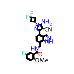 COc1ccc(F)cc1C(=O)NCc1ccc(-c2nn(C3CC(F)(F)C3)c(N)c2C#N)c2cn[nH]c12